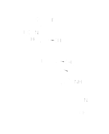 CN1C(=O)C(F)=C[C@]2(C)C3CC[C@]4(C)[C@@H](CC(=O)Nc5ccc(C(F)(F)F)nc5)CC[C@H]4C3CC[C@@H]12